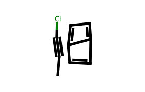 CC#CCl.c1cc2ccc1-2